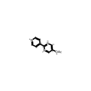 CC(=O)Oc1cnc(-c2ccncc2)nc1